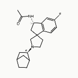 CC(=O)N[C@H]1CC2(CCN([C@@H]3CC4CCC3C4)C2)c2ccc(F)cc21